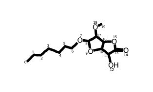 CCCCCCCOC1OC2C(O)C(=O)OC2C1OC